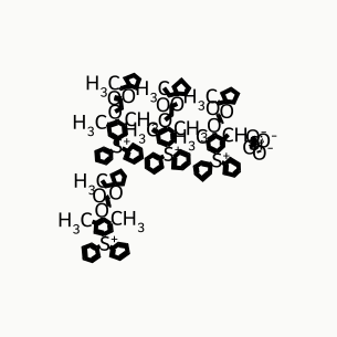 CCC1(OC(=O)COc2c(C)cc([S+](c3ccccc3)c3ccccc3)cc2C)CCCC1.CCC1(OC(=O)COc2c(C)cc([S+](c3ccccc3)c3ccccc3)cc2C)CCCC1.CCC1(OC(=O)COc2c(C)cc([S+](c3ccccc3)c3ccccc3)cc2C)CCCC1.CCC1(OC(=O)COc2c(C)cc([S+](c3ccccc3)c3ccccc3)cc2C)CCCC1.[O-][Si]([O-])([O-])[O-]